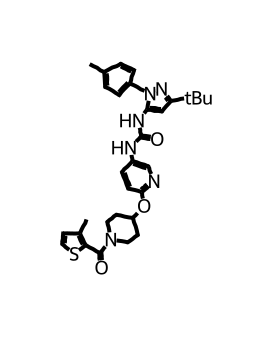 Cc1ccc(-n2nc(C(C)(C)C)cc2NC(=O)Nc2ccc(OC3CCN(C(=O)c4sccc4C)CC3)nc2)cc1